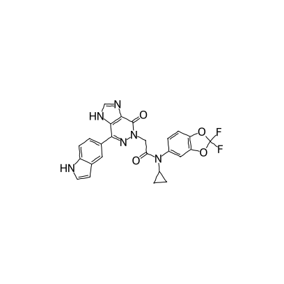 O=C(Cn1nc(-c2ccc3[nH]ccc3c2)c2[nH]cnc2c1=O)N(c1ccc2c(c1)OC(F)(F)O2)C1CC1